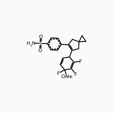 COC1(F)C=CC(C2=C(c3ccc(S(N)(=O)=O)cc3)CC3(CC3)C2)C(F)=C1F